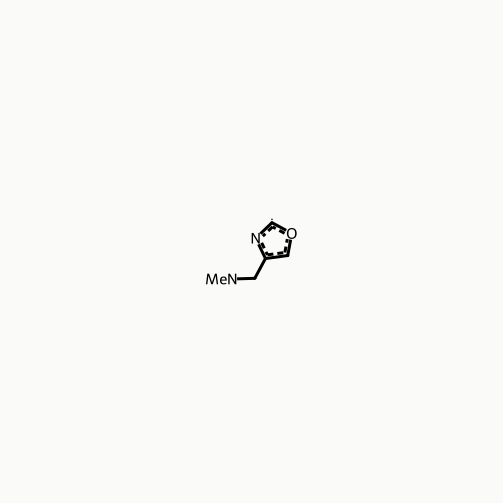 CNCc1co[c]n1